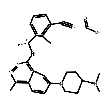 Cc1c(C#N)cccc1[C@@H](C)Nc1nnc(C)c2ccc(N3CCC(N(C)C)CC3)cc12.O=CO